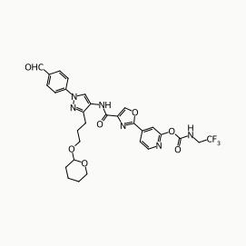 O=Cc1ccc(-n2cc(NC(=O)c3coc(-c4ccnc(OC(=O)NCC(F)(F)F)c4)n3)c(CCCOC3CCCCO3)n2)cc1